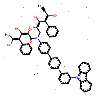 C#C/C(O)=C(\C(O)=C(\O)CN(C(=O)/C(O)=C(O)\C(=C(/C)O)c1ccccc1)c1ccc(-c2ccc(-c3cccc(-n4c5ccccc5c5ccccc54)c3)cc2)cc1)c1ccccc1